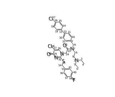 CCN(CC)CCN(Cc1ccc(-c2ccc(Cl)cc2)cc1)C(=O)Cn1cc(Cl)c(=O)nc1SCc1ccc(F)cc1